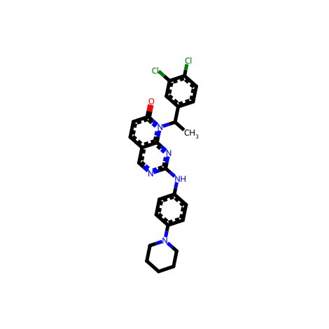 CC(c1ccc(Cl)c(Cl)c1)n1c(=O)ccc2cnc(Nc3ccc(N4CCCCC4)cc3)nc21